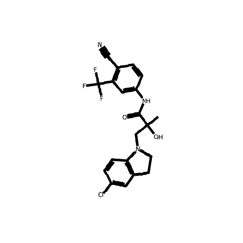 CC(O)(CN1CCc2cc(Cl)ccc21)C(=O)Nc1ccc(C#N)c(C(F)(F)F)c1